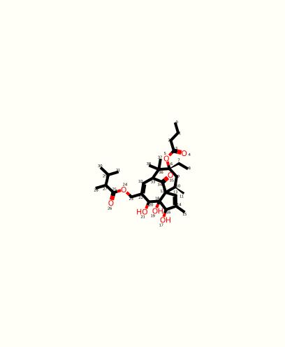 CCCC(=O)O[C@]1(CC)C[C@@H](C)C23C=C(C)C(O)C2(O)C(O)C(COC(=O)C(C)C(C)C)=CC(C3=O)C1(C)C